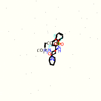 N[C@H](Cc1cc(F)c(F)cc1F)C1CC2CCC(C1)N2C(=O)CCNS(=O)(=O)c1ccccc1.O=C(O)/C=C\C(=O)O